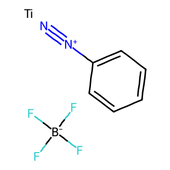 F[B-](F)(F)F.N#[N+]c1ccccc1.[Ti]